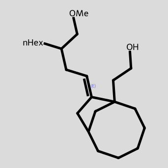 CCCCCCC(C/C=C1\CC2CCCCCC1(CCO)C2)COC